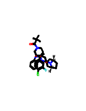 Cc1nc2ccccc2n1C1C[C@H]2CC[C@@H](C1)N2CCC1(c2ccc(Cl)c(F)c2)CCN(C(=O)C(C)(C)C)CC1